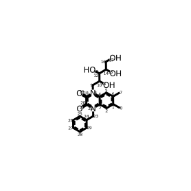 Cc1cc2c(cc1C)n(CC(O)C(O)C(O)CO)c(=O)c(=O)n2Cc1ccccc1